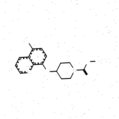 CC(C)(C)OC(=O)N1CCC(Oc2ccc(Br)c3cccnc23)CC1